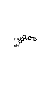 CCCCOc1cc(N)c2nc3c(cc2c1)C(Cc1ccc(CN2CCCC2)cc1)CCC3